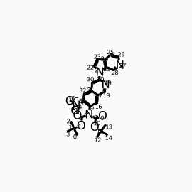 CC(C)(C)OC(=O)N(C(=O)OC(C)(C)C)c1cc2cnc(-n3ccc4ccncc43)cc2cc1[N+](=O)[O-]